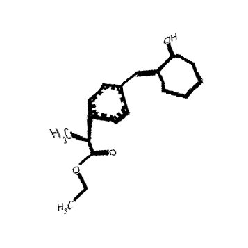 CCOC(=O)C(C)c1ccc(C=C2CCCCC2O)cc1